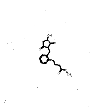 COC(=O)CCCc1ccccc1CC1C(=O)CC(O)C1=O